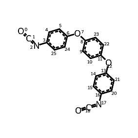 O=C=Nc1ccc(Oc2ccc(Oc3ccc(N=C=O)cc3)cc2)cc1